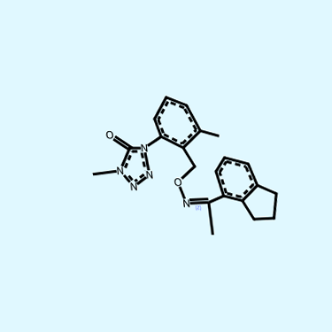 C/C(=N/OCc1c(C)cccc1-n1nnn(C)c1=O)c1cccc2c1CCC2